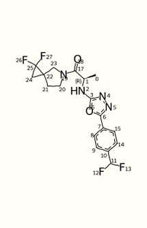 C[C@@H](Nc1nnc(-c2ccc(C(F)F)cc2)o1)C(=O)N1CCC2(C1)CC2(F)F